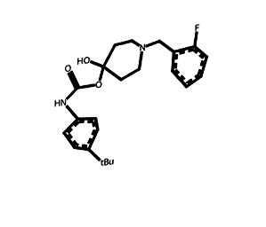 CC(C)(C)c1ccc(NC(=O)OC2(O)CCN(Cc3ccccc3F)CC2)cc1